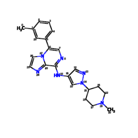 Cc1cccc(-c2cnc(Nc3cnn(C4CCN(C)CC4)c3)c3nccn23)c1